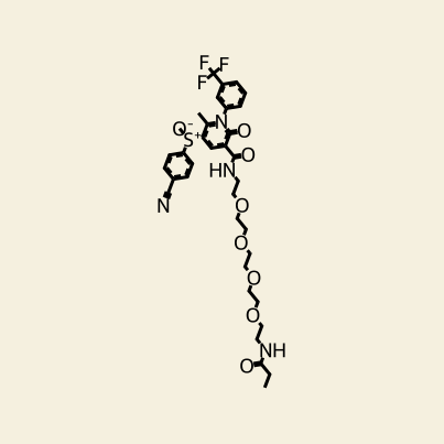 CCC(=O)NCCOCCOCCOCCOCCNC(=O)c1cc([S+]([O-])c2ccc(C#N)cc2)c(C)n(-c2cccc(C(F)(F)F)c2)c1=O